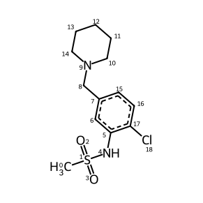 CS(=O)(=O)Nc1cc(CN2CCCCC2)ccc1Cl